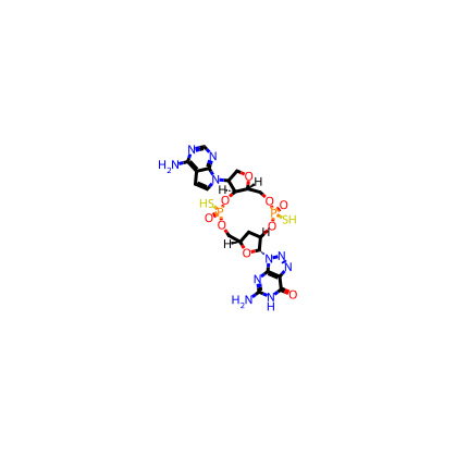 Nc1nc2c(nnn2[C@@H]2O[C@@H]3COP(=O)(S)O[C@H]4C(n5ccc6c(N)ncnc65)CO[C@@H]4COP(=O)(S)O[C@H]2C3)c(=O)[nH]1